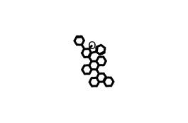 C1=CC2=C(CC1)OC1C2=C(C2C3CCCCC3C(C3CC4=C(CCCC4)C4CCCCC43)C3CCCCC32)CCC1C1CC=CCC1